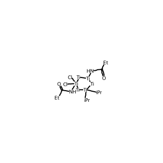 CCC(=O)[NH][Ti]1[Ti][Ti]([CH](C)C)([CH](C)C)[Ti][Ti]([Cl])([Cl])([NH]C(=O)CC)[Ti]1